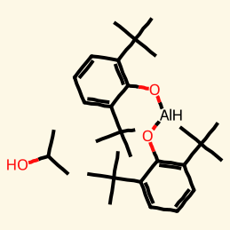 CC(C)(C)c1cccc(C(C)(C)C)c1[O][AlH][O]c1c(C(C)(C)C)cccc1C(C)(C)C.CC(C)O